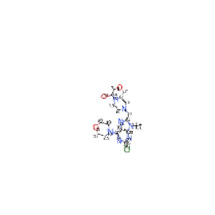 CCn1c(CN2C=C3COCC(=O)N3CC2)nc2c(N3CCOCC3)nc(Cl)nc21